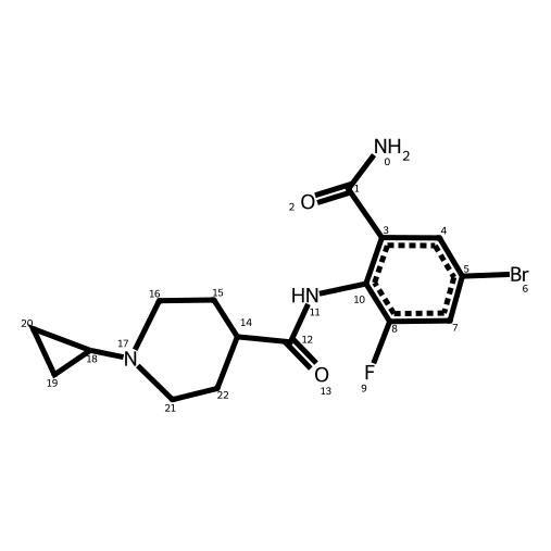 NC(=O)c1cc(Br)cc(F)c1NC(=O)C1CCN(C2CC2)CC1